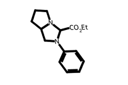 CCOC(=O)C1N(c2ccccc2)CC2CCCN21